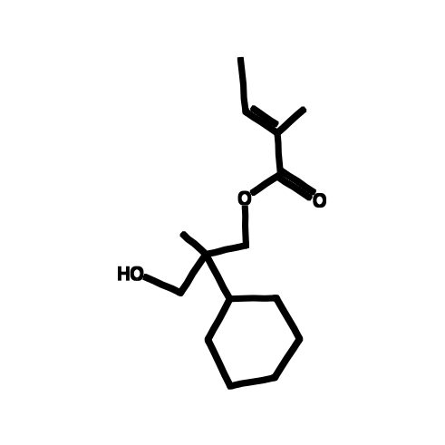 CC=C(C)C(=O)OCC(C)(CO)C1CCCCC1